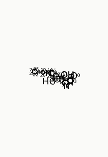 COc1ccc2nccc([C@H](O)CC[C@@H]3CCN(C4CC(C5CCCC5)C4)C[C@@H]3C(=O)O)c2c1